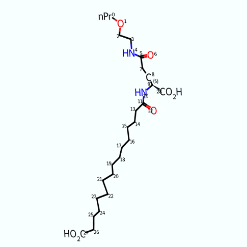 CCCOCCNC(=O)CC[C@H](NC(=O)CCCCCCCCCCCCCCC(=O)O)C(=O)O